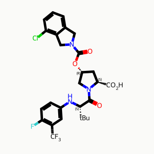 CC(C)(C)[C@H](Nc1ccc(F)c(C(F)(F)F)c1)C(=O)N1C[C@H](OC(=O)N2Cc3cccc(Cl)c3C2)C[C@H]1C(=O)O